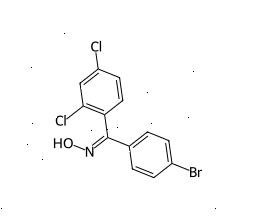 ON=C(c1ccc(Br)cc1)c1ccc(Cl)cc1Cl